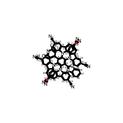 Cc1cc(-c2c(-n3c4ccc(C#N)cc4c4cc(C#N)ccc43)c(-n3c4ccc(C#N)cc4c4cc(C#N)ccc43)c(-c3nc4ccccc4o3)c(-n3c4ccc(C#N)cc4c4cc(C#N)ccc43)c2-n2c3ccc(C#N)cc3c3cc(C#N)ccc32)cc(C)n1